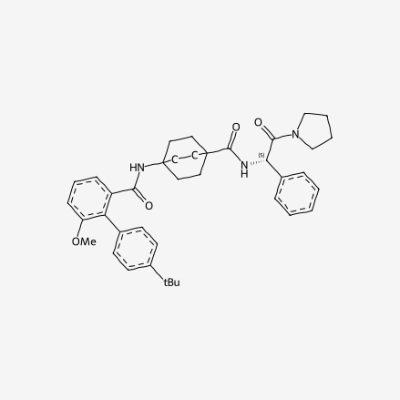 COc1cccc(C(=O)NC23CCC(C(=O)N[C@H](C(=O)N4CCCC4)c4ccccc4)(CC2)CC3)c1-c1ccc(C(C)(C)C)cc1